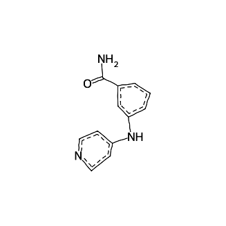 NC(=O)c1cccc(Nc2ccncc2)c1